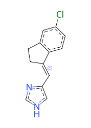 Clc1ccc2c(c1)CC/C2=C\c1c[nH]cn1